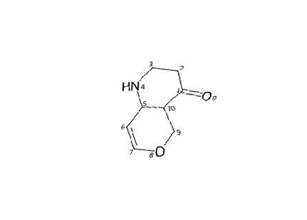 O=C1CCNC2C=COCC12